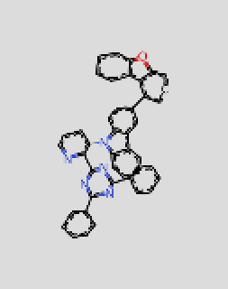 c1ccc(-c2nc(-c3ccccc3)nc(-c3ncccc3-n3c4ccccc4c4cc(-c5cccc6oc7ccccc7c56)ccc43)n2)cc1